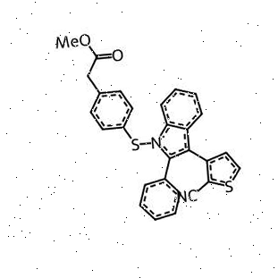 COC(=O)Cc1ccc(Sn2c(-c3ccccc3)c(-c3ccsc3C#N)c3ccccc32)cc1